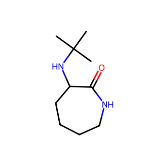 CC(C)(C)NC1CCCCNC1=O